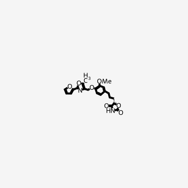 COc1cc(CCC[C@@H]2OC(=O)NC2=O)ccc1OCc1nc(-c2ccco2)oc1C